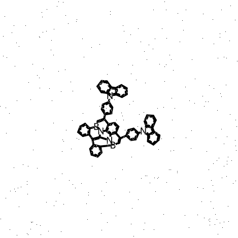 C1=C(c2ccc(-n3c4ccccc4c4ccccc43)cc2)c2ccc3c4c2N2B1c1ccccc1C1=C2N4B(C=C3c2ccc(-n3c4ccccc4c4ccccc43)cc2)c2ccccc21